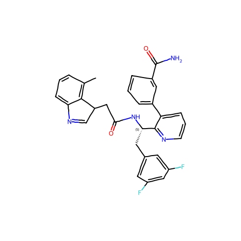 Cc1cccc2c1C(CC(=O)N[C@@H](Cc1cc(F)cc(F)c1)c1ncccc1-c1cccc(C(N)=O)c1)C=N2